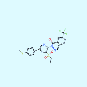 CCS(=O)(=O)c1cc(-c2ccc(SC)cc2)cnc1-n1ncc2ccc(C(F)(F)F)cc2c1=O